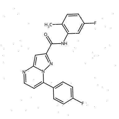 Cc1ccc(F)cc1NC(=O)c1cc2nccc(-c3ccc(F)cc3)n2n1